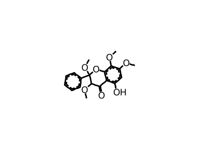 COc1cc(O)c2c(c1OC)OC(OC)(c1ccccc1)C(OC)C2=O